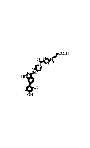 CCc1cc(O)c(F)cc1-c1ccc2c(-c3nc4c([nH]3)CCN(C(=O)c3cnc(N(C)CCCC(=O)O)cn3)C4)n[nH]c2c1